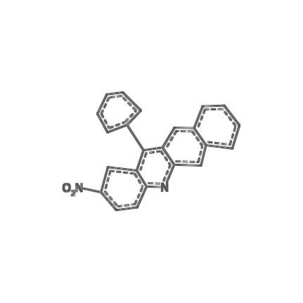 O=[N+]([O-])c1ccc2nc3cc4ccccc4cc3c(-c3ccccc3)c2c1